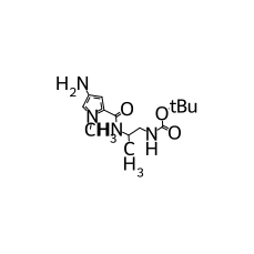 CC(CNC(=O)OC(C)(C)C)NC(=O)c1cc(N)cn1C